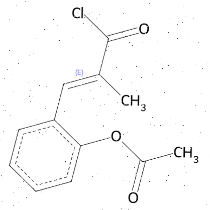 CC(=O)Oc1ccccc1/C=C(\C)C(=O)Cl